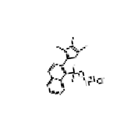 CC1=C(C)C(C)=C(c2ccc3ccccc3c2C(C)(C)[O][Ti+2])C1.[Cl-].[Cl-]